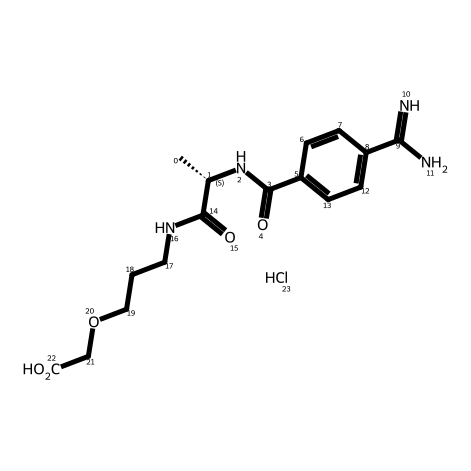 C[C@H](NC(=O)c1ccc(C(=N)N)cc1)C(=O)NCCCOCC(=O)O.Cl